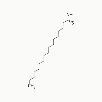 CCCCCCCCCCCCCCCCC([NH])=S